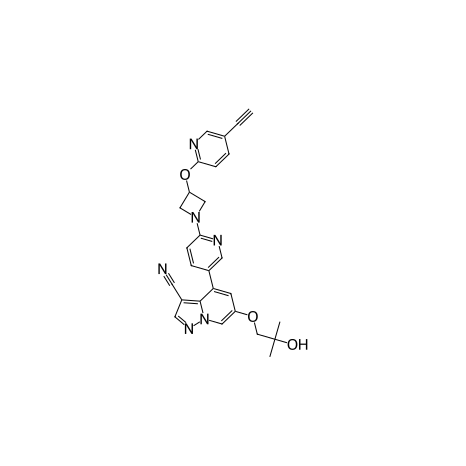 C#Cc1ccc(OC2CN(c3ccc(-c4cc(OCC(C)(C)O)cn5ncc(C#N)c45)cn3)C2)nc1